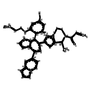 C=CC(=O)N1CCn2nc(-c3nc(-c4ccn5ccnc5c4)c4ccsc4c3-c3c(F)cc(F)cc3OCCOC)cc2C1C